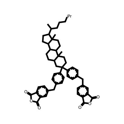 CC(C)CCCC(C)C1CCC2C3CCC4CC(c5ccc(Cc6ccc7c(c6)C(=O)OC7=O)cc5)(c5ccc(Cc6ccc7c(c6)C(=O)OC7=O)cc5)CCC4(C)C3CCC12C